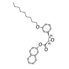 CCCCCCCCCOc1cccc([C@H]2O[C@H]2C(=O)Oc2ccc3ccccc3c2)c1